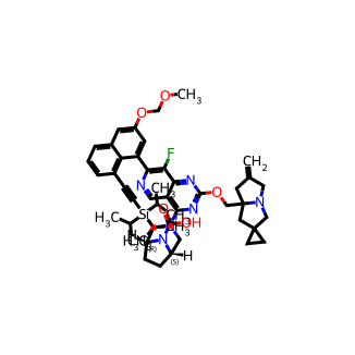 C=C1CN2CC3(CC3)CC2(COc2nc(N3C[C@H]4CC[C@@H](C3)N4C(=O)O)c3cnc(-c4cc(OCOC)cc5cccc(C#C[Si](C(C)C)(C(C)C)C(C)C)c45)c(F)c3n2)C1